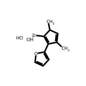 CC1=CC(C)[C]([Zr])=C1c1ccco1.Cl.Cl